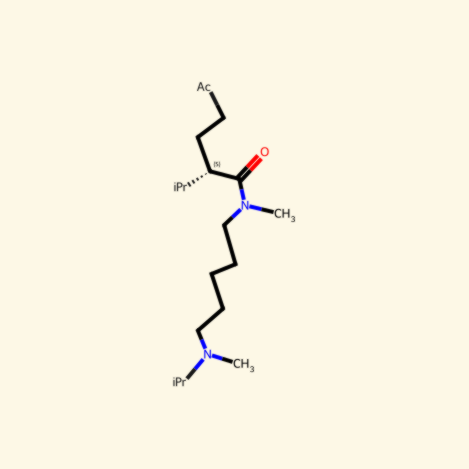 CC(=O)CC[C@H](C(=O)N(C)CCCCCN(C)C(C)C)C(C)C